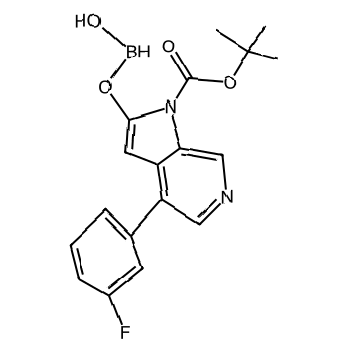 CC(C)(C)OC(=O)n1c(OBO)cc2c(-c3cccc(F)c3)cncc21